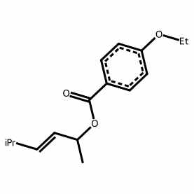 CCOc1ccc(C(=O)OC(C)C=CC(C)C)cc1